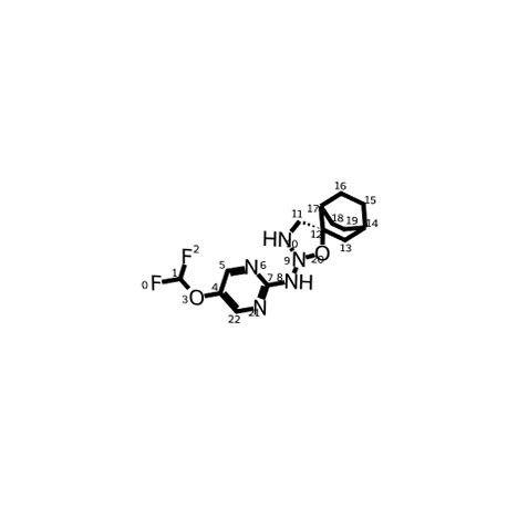 FC(F)Oc1cnc(NN2NC[C@]3(CC4CCC3CC4)O2)nc1